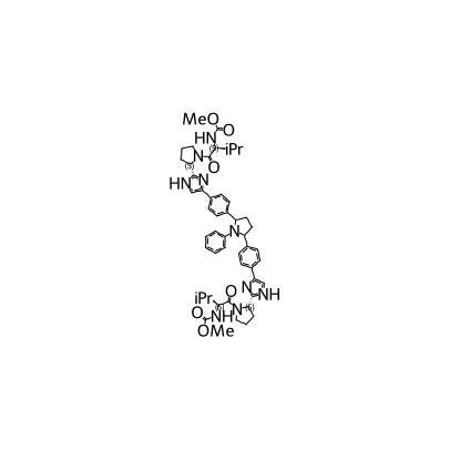 COC(=O)N[C@H](C(=O)N1CCC[C@H]1c1nc(-c2ccc(C3CCC(c4ccc(-c5c[nH]c([C@@H]6CCCN6C(=O)[C@@H](NC(=O)OC)C(C)C)n5)cc4)N3c3ccccc3)cc2)c[nH]1)C(C)C